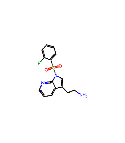 NCCc1cn(S(=O)(=O)c2ccccc2F)c2ncccc12